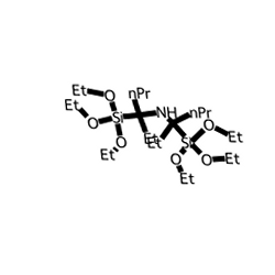 CCCC(CC)(NC(CC)(CCC)[Si](OCC)(OCC)OCC)[Si](OCC)(OCC)OCC